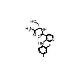 NC(=O)[C@H](CO)NC(=O)c1ccncc1Nc1ccc(I)cc1F